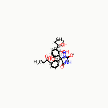 C=CC(O)c1cccc(C2(c3cccc(C(O)C=C)c3O)NC(=O)NC2=O)c1O